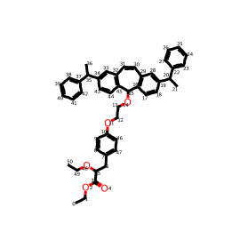 CCOC(=O)C(Cc1ccc(OCCOC2c3ccc(C(C)c4ccccc4)cc3C=Cc3cc(C(C)c4ccccc4)ccc32)cc1)OCC